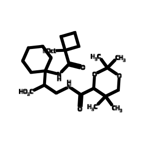 CCCCCCCCC1(C(=O)NC2(C(CNC(=O)C3OC(C)(C)OCC3(C)C)C(=O)O)CCCCC2)CCC1